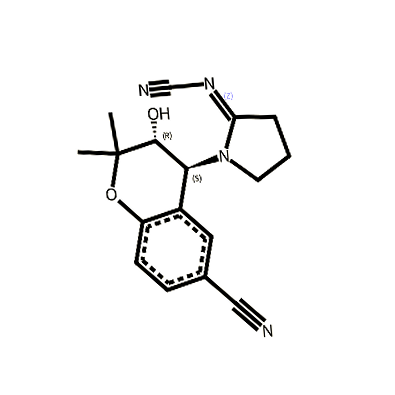 CC1(C)Oc2ccc(C#N)cc2[C@H](N2CCC/C2=N/C#N)[C@H]1O